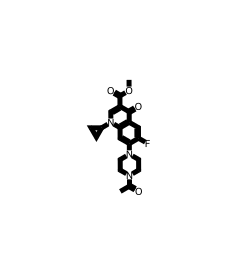 COC(=O)c1cn(C2CC2)c2cc(N3CCN(C(C)=O)CC3)c(F)cc2c1=O